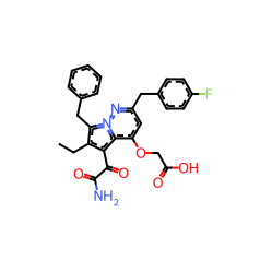 CCc1c(C(=O)C(N)=O)c2c(OCC(=O)O)cc(Cc3ccc(F)cc3)nn2c1Cc1ccccc1